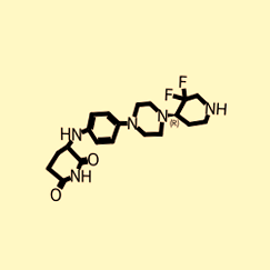 O=C1CCC(Nc2ccc(N3CCN([C@@H]4CCNCC4(F)F)CC3)cc2)C(=O)N1